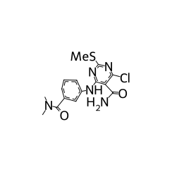 CSc1nc(Cl)c(C(N)=O)c(Nc2cccc(C(=O)N(C)C)c2)n1